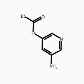 CCC(=O)Oc1cncc(N)c1